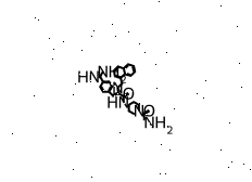 N=C(N)c1ccc2cc(C(=O)NC3CCN(C(=O)CN)CC3)n(Cc3cccc4ccccc34)c2c1